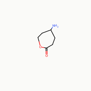 NC1CCOC(=O)CC1